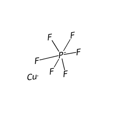 F[P-](F)(F)(F)(F)F.[Cu]